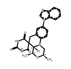 C[C@@H]1CN2c3ccc(-n4cnc5ccccc54)cc3CC3(C(=O)NC(=O)NC3=O)[C@H]2[C@H](C)O1